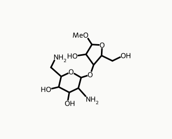 COC1OC(CO)C(OC2OC(CN)C(O)C(O)C2N)C1O